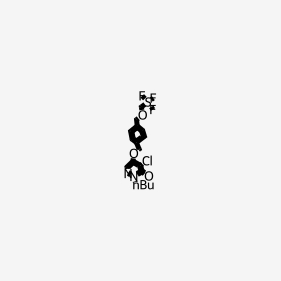 CCCCn1ncc(OCc2ccc(COCS(F)(F)F)cc2)c(Cl)c1=O